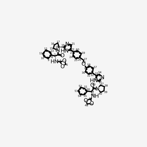 O=C([C@H](NC1OCO1)c1ccccc1)N1CCC[C@H]1c1ncc(-c2ccc(COc3ccc(-c4cnc([C@@H]5CCCN5C(=O)[C@H](NC5OCO5)c5ccccc5)[nH]4)cc3)cc2)[nH]1